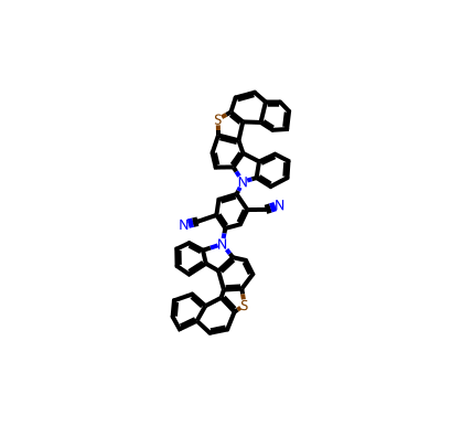 N#Cc1cc(-n2c3ccccc3c3c4c(ccc32)sc2ccc3ccccc3c24)c(C#N)cc1-n1c2ccccc2c2c3c(ccc21)sc1ccc2ccccc2c13